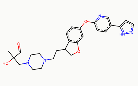 CC(O)(C=O)CN1CCN(CCC2COc3cc(Oc4ccc(-c5ccn[nH]5)cn4)ccc32)CC1